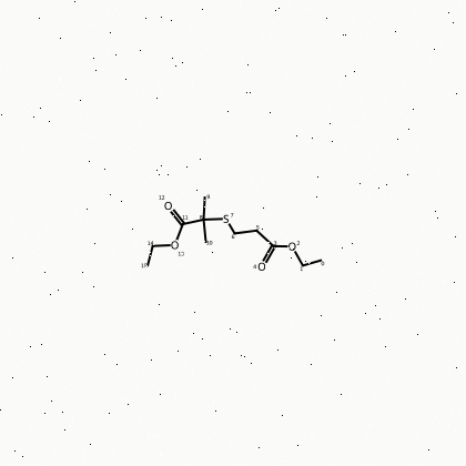 CCOC(=O)CCSC(C)(C)C(=O)OCC